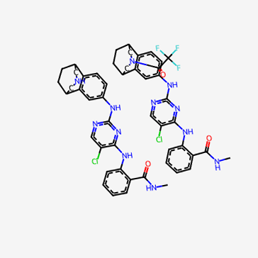 CNC(=O)c1ccccc1Nc1nc(Nc2ccc3c(c2)C2CCC3CN(C(=O)C(F)(F)F)C2)ncc1Cl.CNC(=O)c1ccccc1Nc1nc(Nc2ccc3c(c2)C2CCC3CNC2)ncc1Cl